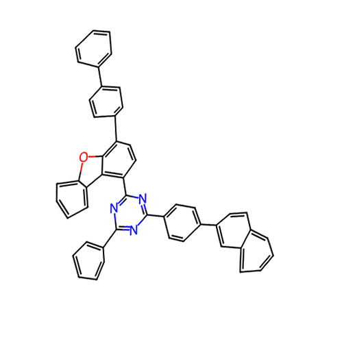 c1ccc(-c2ccc(-c3ccc(-c4nc(-c5ccccc5)nc(-c5ccc(-c6ccc7ccccc7c6)cc5)n4)c4c3oc3ccccc34)cc2)cc1